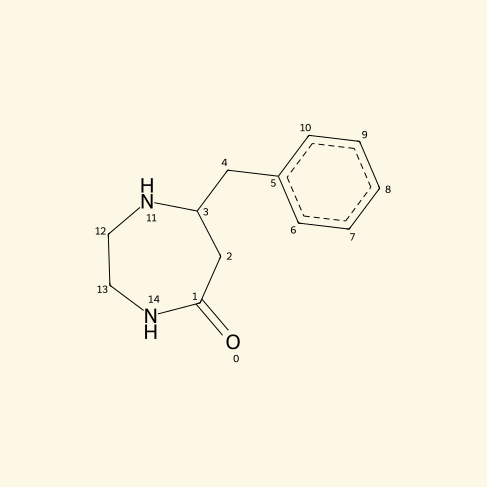 O=C1CC(Cc2ccccc2)NCCN1